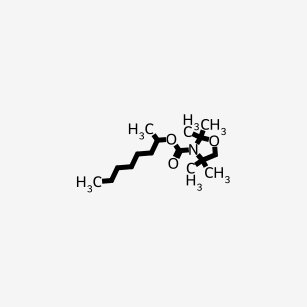 CCCCCCC(C)OC(=O)N1C(C)(C)COC1(C)C